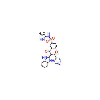 CC(=N)NS(=O)(=O)c1cccc(C(=O)C(C(=O)c2ccncc2)=C2Nc3ccccc3N2)c1